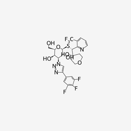 OC[C@H]1O[C@@H](S[C@H](c2ncccc2C(F)(F)F)C2(O)CCOCC2)[C@H](O)[C@@H](n2cc(-c3cc(F)c(F)c(F)c3)nn2)[C@H]1O